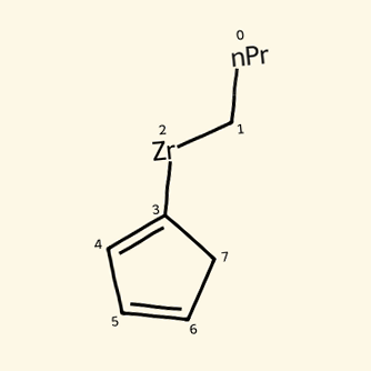 CCC[CH2][Zr][C]1=CC=CC1